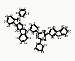 c1ccc(-c2nc(-c3cccc(-n4c5ccccc5c5cc6c7ccccc7n(-c7ccccc7)c6cc54)c3)nc(-c3ccc4c(c3)oc3ccccc34)n2)cc1